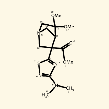 COC(=O)C1(c2nc(N(C)C)ns2)CN2CC1C(OC)(OC)C2